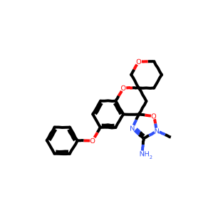 CN1OC2(CC3(CCCOC3)Oc3ccc(Oc4ccccc4)cc32)N=C1N